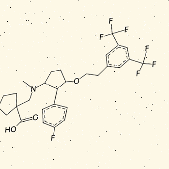 CN(CC1(C(=O)O)CCCC1)C1CCC(OCCc2cc(C(F)(F)F)cc(C(F)(F)F)c2)C1c1ccc(F)cc1